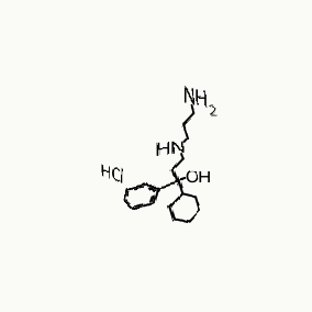 Cl.NCCCNCCC(O)(c1ccccc1)C1CCCCC1